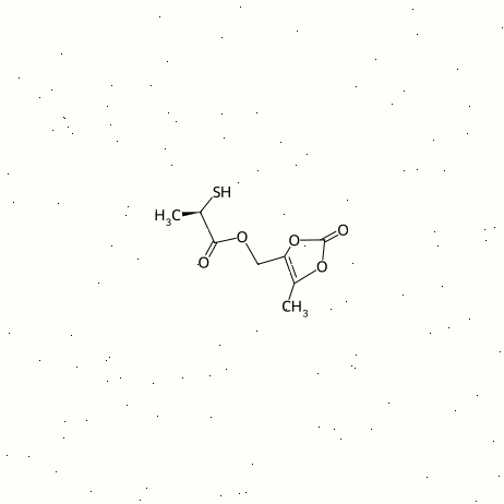 Cc1oc(=O)oc1COC(=O)[C@@H](C)S